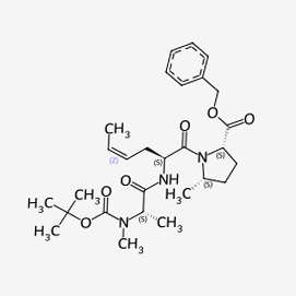 C/C=C\C[C@H](NC(=O)[C@H](C)N(C)C(=O)OC(C)(C)C)C(=O)N1[C@@H](C)CC[C@H]1C(=O)OCc1ccccc1